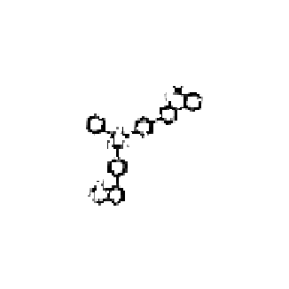 CC1(C)Oc2cc(-c3ccc(-c4nc(-c5ccccc5)nc(-c5ccc(-c6cccc7cncnc67)cc5)n4)cc3)ccc2-c2ccccc21